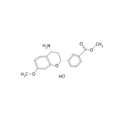 COC(=O)c1cccc([C@H]2C[C@@H](N)c3ccc(OC)cc3O2)c1.Cl